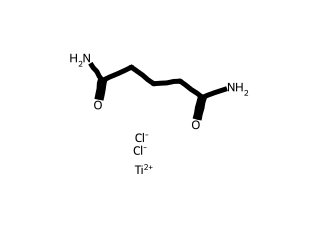 NC(=O)CCCC(N)=O.[Cl-].[Cl-].[Ti+2]